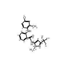 Cc1cc(Cl)ccc1Nc1ccccc1C(=O)Nc1cc(C(F)(F)F)nn1C